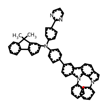 CC1(C)c2ccccc2-c2ccc(N(c3ccc(-c4ccc5c(c4)c4ccc6ccn(-c7ccccc7)c6c4n5-c4ccccc4)cc3)c3ccc(-c4ncccn4)cc3)cc21